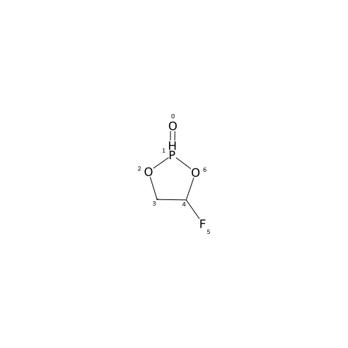 O=[PH]1OCC(F)O1